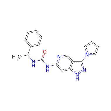 CC(NC(=O)Nc1cc2[nH]nc(-n3cccc3)c2cn1)c1ccccc1